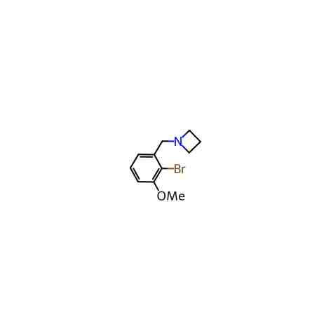 COc1cccc(CN2CCC2)c1Br